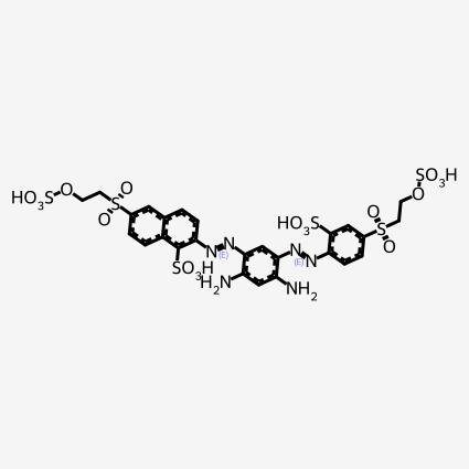 Nc1cc(N)c(/N=N/c2ccc3cc(S(=O)(=O)CCOS(=O)(=O)O)ccc3c2S(=O)(=O)O)cc1/N=N/c1ccc(S(=O)(=O)CCOS(=O)(=O)O)cc1S(=O)(=O)O